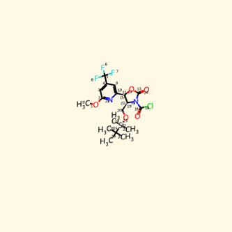 COc1cc(C(F)(F)F)cc([C@H]2OC(=O)N(C(=O)Cl)[C@H]2CO[Si](C)(C)C(C)(C)C)n1